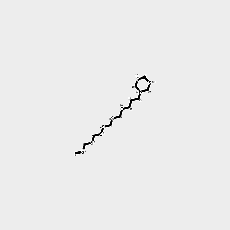 CSCSCSSCSCOCCCN1CSCSC1